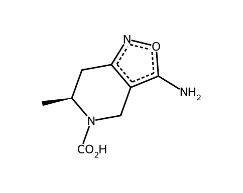 C[C@H]1Cc2noc(N)c2CN1C(=O)O